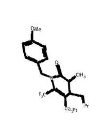 CCOC(=O)C1=C(C(F)(F)F)N(Cc2ccc(OC)cc2)C(=O)C(C)C1CC(C)C